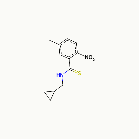 Cc1ccc([N+](=O)[O-])c(C(=S)NCC2CC2)c1